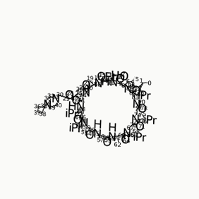 C/C=C/C[C@@H](C)[C@@H](O)[C@H]1C(=O)N[C@@H](CC)C(=O)N(C)[C@H](C)C(=O)N(C)[C@@H]([C@H](C)COCCN2CCN(C3CCC3)CC2)C(=O)N[C@@H](C(C)C)C(=O)N(C)[C@@H](CC(C)C)C(=O)N[C@@H](C)C(=O)N[C@H](C)C(=O)N(C)[C@@H](CC(C)C)C(=O)N(C)[C@@H](CC(C)C)C(=O)N(C)[C@@H](C(C)C)C(=O)N1C